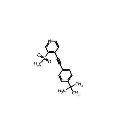 CC(C)(C)c1ccc(C#Cc2ccncc2S(C)(=O)=O)cc1